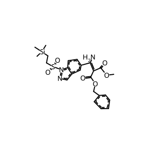 COC(=O)C(C(=O)OCc1ccccc1)=C(N)c1ccc2c(cnn2S(=O)(=O)CC[Si](C)(C)C)c1